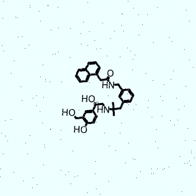 CC(C)(Cc1cccc(CNC(=O)Cc2cccc3ccccc23)c1)NC[C@@H](O)c1ccc(O)c(CO)c1